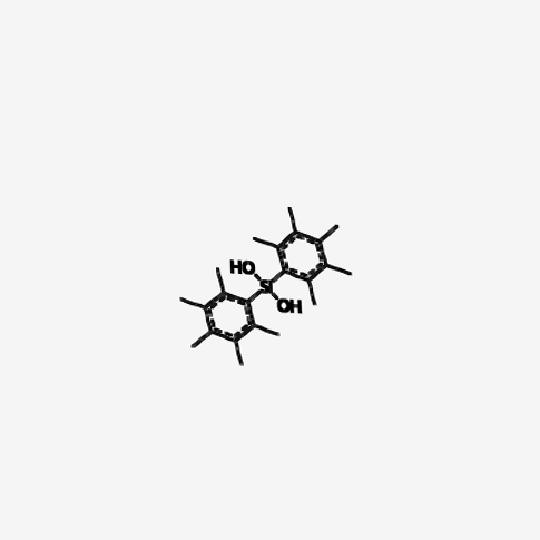 Cc1c(C)c(C)c([Si](O)(O)c2c(C)c(C)c(C)c(C)c2C)c(C)c1C